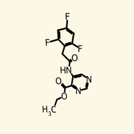 CCOC(=O)c1ncncc1NC(=O)Cc1c(F)cc(F)cc1F